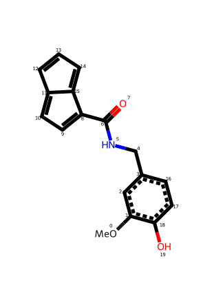 COc1cc(CNC(=O)C2=CC=C3C=CC=C32)ccc1O